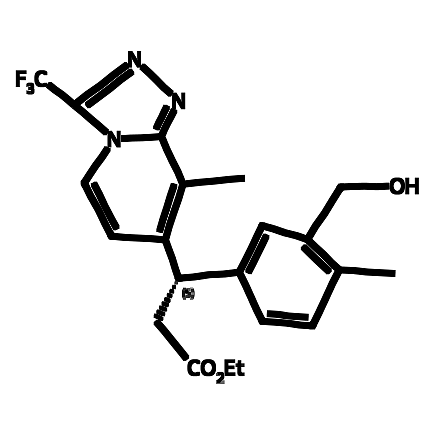 CCOC(=O)C[C@@H](c1ccc(C)c(CO)c1)c1ccn2c(C(F)(F)F)nnc2c1C